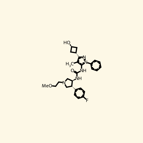 COCCN1C[C@@H](NC(=O)Nc2c(C)c([C@H]3C[C@H](O)C3)nn2-c2ccccc2)[C@H](c2ccc(F)cc2)C1